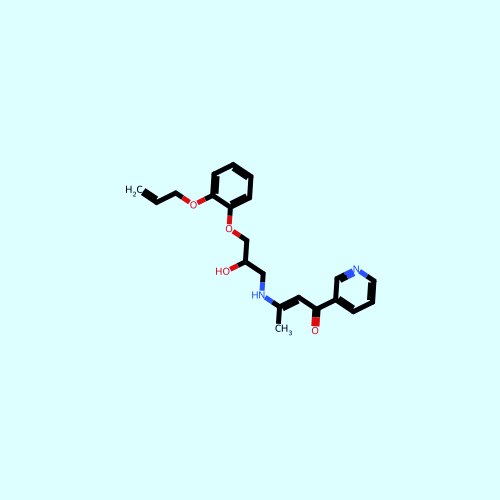 C=CCOc1ccccc1OCC(O)CNC(C)=CC(=O)c1cccnc1